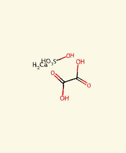 O=C(O)C(=O)O.O=S(=O)(O)O.[CaH2]